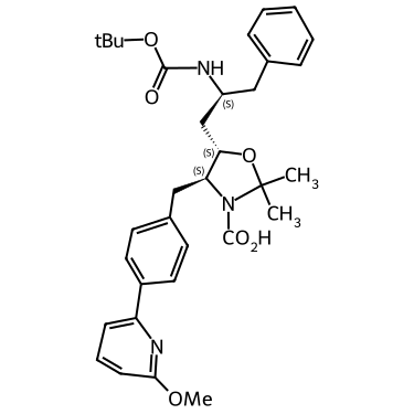 COc1cccc(-c2ccc(C[C@H]3[C@H](C[C@H](Cc4ccccc4)NC(=O)OC(C)(C)C)OC(C)(C)N3C(=O)O)cc2)n1